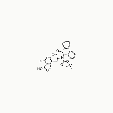 CC(C)(C)OC(=O)N1[C@@H](Cc2ccc(F)c3c2COB3O)C(=O)O[C@H](c2ccccc2)[C@@H]1c1ccccc1